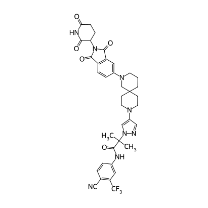 CC(C)(C(=O)Nc1ccc(C#N)c(C(F)(F)F)c1)n1cc(N2CCC3(CCCN(c4ccc5c(c4)C(=O)N(C4CCC(=O)NC4=O)C5=O)C3)CC2)cn1